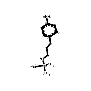 CC(C)(C)[Si](C)(C)OCCCc1ccc(N)cc1